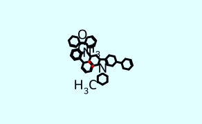 CC1CCCC(N2C3=C(CCC(C4CC=CCC4)C3)C3CC(N(C4=CC=CC5OC6CCC=CC6(C)C45)c4ccccc4C4C=CC=CC4)C=CC32)C1